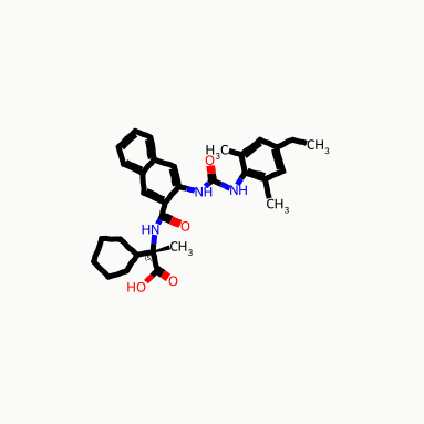 CCc1cc(C)c(NC(=O)Nc2cc3ccccc3cc2C(=O)N[C@](C)(C(=O)O)C2CCCCC2)c(C)c1